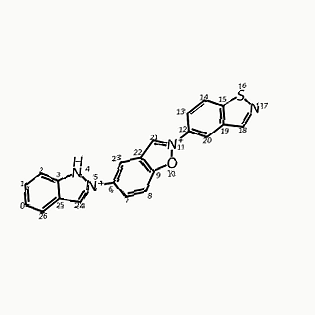 c1ccc2[nH][n+](-c3ccc4o[n+](-c5ccc6sncc6c5)cc4c3)cc2c1